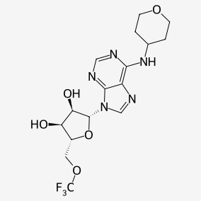 O[C@@H]1[C@H](O)[C@@H](COC(F)(F)F)O[C@H]1n1cnc2c(NC3CCOCC3)ncnc21